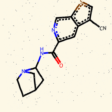 N#Cc1csc2cnc(C(=O)NC3CC4CCN3C4)cc12